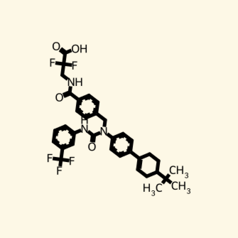 CC(C)(C)C1CC=C(c2ccc(N(Cc3ccc(C(=O)NCC(F)(F)C(=O)O)cc3)C(=O)Nc3cccc(C(F)(F)F)c3)cc2)CC1